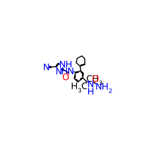 CC(C)(NC(N)=O)c1ccc(NC(=O)c2nc(C#N)c[nH]2)c(C2=CCCCC2)c1